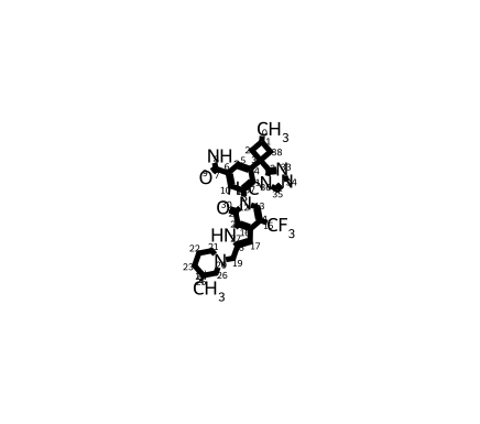 CC1CC(c2cc(C(N)=O)cc(-n3cc(C(F)(F)F)c4cc(CN5CCC[C@H](C)C5)[nH]c4c3=O)c2)(c2nncn2C)C1